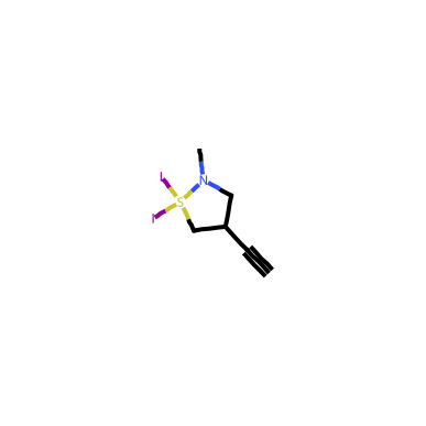 C#CC1CN(C)S(I)(I)C1